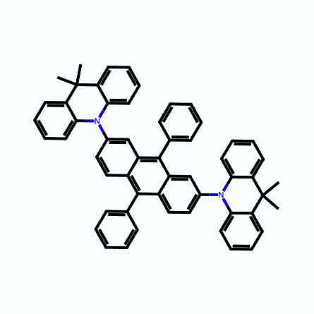 CC1(C)c2ccccc2N(c2ccc3c(-c4ccccc4)c4ccc(N5c6ccccc6C(C)(C)c6ccccc65)cc4c(-c4ccccc4)c3c2)c2ccccc21